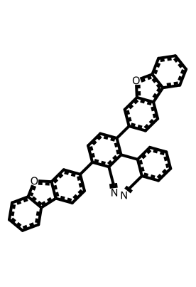 N#Cc1ccccc1-c1c(-c2ccc3c(c2)oc2ccccc23)ccc(-c2ccc3c(c2)oc2ccccc23)c1C#N